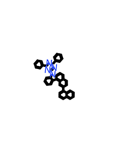 c1ccc(-c2nc(-c3ccccc3)nc(-n3c4ccccc4c4c5cc(-c6cccc7ccccc67)ccc5ccc43)n2)cc1